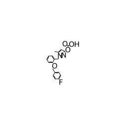 Cc1cc(OC(=O)O)nn1Cc1ccccc1OCc1ccc(F)cc1